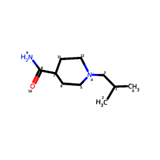 CC(C)CN1CCC(C(N)=O)CC1